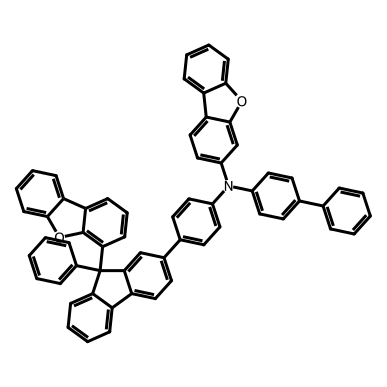 c1ccc(-c2ccc(N(c3ccc(-c4ccc5c(c4)C(c4ccccc4)(c4cccc6c4oc4ccccc46)c4ccccc4-5)cc3)c3ccc4c(c3)oc3ccccc34)cc2)cc1